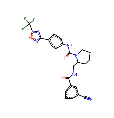 N#Cc1cccc(C(=O)NCC2CCCCN2C(=O)Nc2ccc(-c3noc(C(F)(F)F)n3)cc2)c1